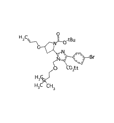 C=CCOC1CC(c2nc(-c3ccc(Br)cc3)c(C(=O)OCC)n2COCC[Si](C)(C)C)N(C(=O)OC(C)(C)C)C1